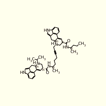 CCC[C@@H](C)NC(=O)[C@@H]1C=C2c3cccc4[nH]cc(c34)C[C@H]2N(CC#CCCC[C@@H](C)NC(=O)[C@@H]2C=C3c4cccc5[nH]cc(c45)C[C@H]3N(C(C)C)C2)C1